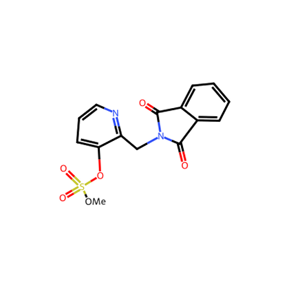 COS(=O)(=O)Oc1cccnc1CN1C(=O)c2ccccc2C1=O